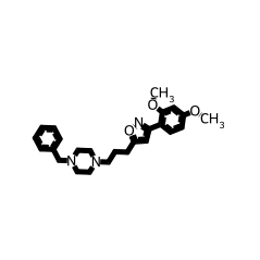 COc1ccc(-c2cc(CCCN3CCN(Cc4ccccc4)CC3)on2)c(OC)c1